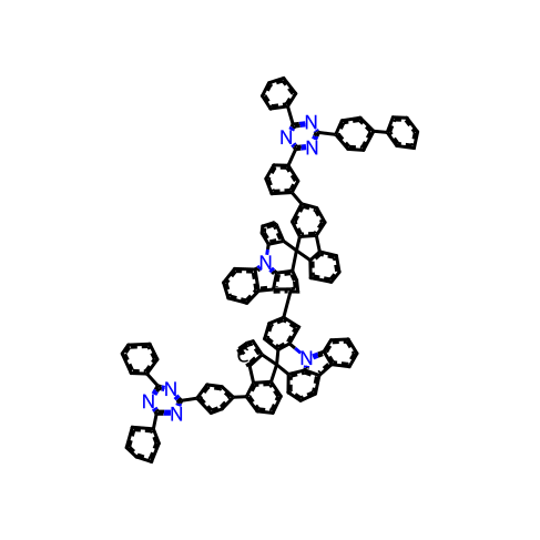 c1ccc(-c2ccc(-c3nc(-c4ccccc4)nc(-c4cccc(-c5ccc6c(c5)C5(c7ccccc7-6)c6ccccc6-n6c7ccccc7c7c(-c8ccc9c(c8)-n8c%10ccccc%10c%10cccc(c%108)C98c9ccccc9-c9c(-c%10ccc(-c%11nc(-c%12ccccc%12)nc(-c%12ccccc%12)n%11)cc%10)cccc98)ccc5c76)c4)n3)cc2)cc1